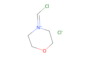 ClC=[N+]1CCOCC1.[Cl-]